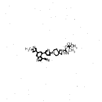 Cn1cc(-c2cc(-c3ccc(N4CCC5(CC4)CN(C(=N)OC(C)(C)C)C5)nc3)c3c(C#N)cnn3c2)cn1